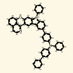 c1ccc(-c2ccc(N(c3ccccc3)c3ccc(-c4ccc5c(c4)c4cc6c(cc4n5-c4ccccc4)Oc4cccc5ccnc-6c45)cc3)cc2)cc1